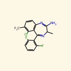 CC1N=C(c2c(F)cccc2F)c2c(ccc(C(F)(F)F)c2Cl)N=C1N